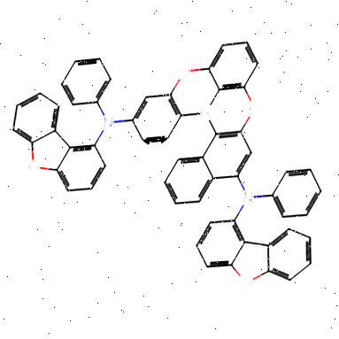 c1ccc(N(c2cc3c(c4ccccc24)B2c4c(cccc4Oc4cc(N(c5ccccc5)c5cccc6oc7ccccc7c56)c5ccccc5c42)O3)c2cccc3oc4ccccc4c23)cc1